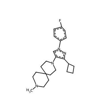 CN1CCC2(CC1)CCN(c1cn(-c3ccc(F)cc3)nc1C1CCC1)CC2